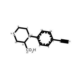 [C]#Cc1ccc(N2CCSCC2C(=O)O)cc1